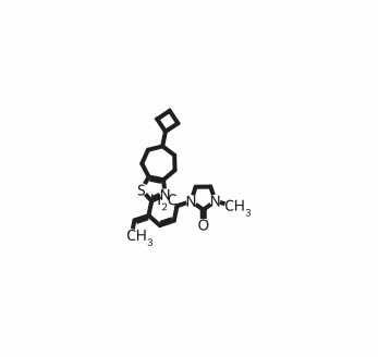 C=C(/C=C\C(=C/C)c1nc2c(s1)CCC(C1CCC1)CC2)N1CCN(C)C1=O